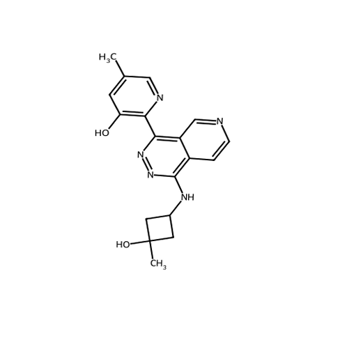 Cc1cnc(-c2nnc(NC3CC(C)(O)C3)c3ccncc23)c(O)c1